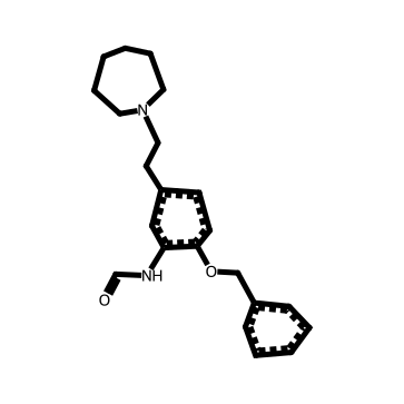 O=CNc1cc(CCN2CCCCCC2)ccc1OCc1ccccc1